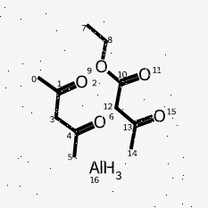 CC(=O)CC(C)=O.CCOC(=O)CC(C)=O.[AlH3]